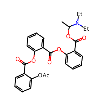 CCN(CC)C(C)OC(=O)c1ccccc1OC(=O)c1ccccc1OC(=O)c1ccccc1OC(C)=O